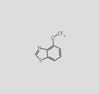 FC(F)(F)Oc1cccc2s[c]nc12